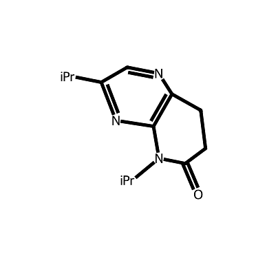 CC(C)c1cnc2c(n1)N(C(C)C)C(=O)CC2